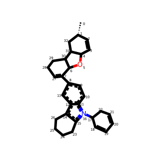 C[C@@H]1C=CC2OC3C(c4ccc5c(c4)c4c(n5C5C=CC=CC5)CCCC4)=CCCC3C2C1